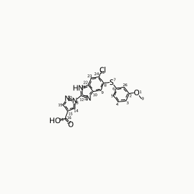 COc1cccc(Sc2cc3nc(-n4cc(C(=O)O)cn4)[nH]c3cc2Cl)c1